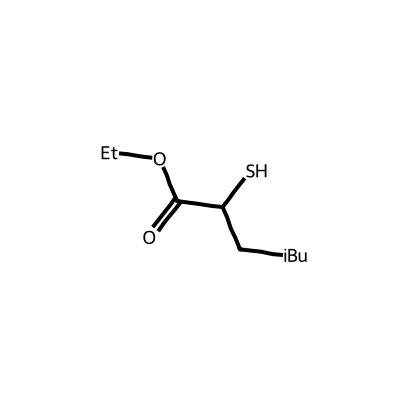 CCOC(=O)C(S)CC(C)CC